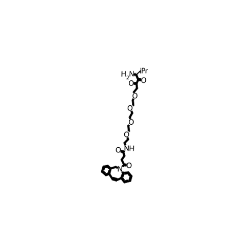 CC(C)[C@H](N)C(=O)C(=O)CCOCCOCCOCCOCCNC(=O)CCC(=O)N1Cc2ccccc2C#Cc2ccccc21